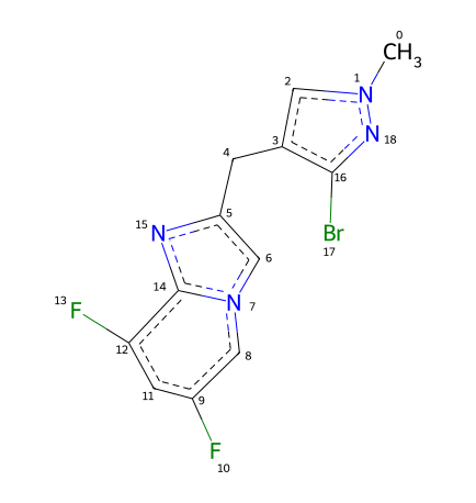 Cn1cc(Cc2cn3cc(F)cc(F)c3n2)c(Br)n1